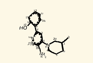 CC1CCCN(c2cc(-c3ccccc3O)nnc2N)C1